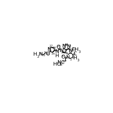 C[C@@H]1CCN(C(=O)CC#N)C[C@@H]1N(C)c1ncnc2c1ccn2C(=O)Nc1ccnc(OCCN)c1.Cl